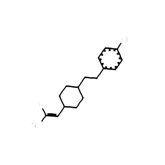 N#CC(F)=CC1CCC(CCc2ccc(C(F)(F)F)cc2)CC1